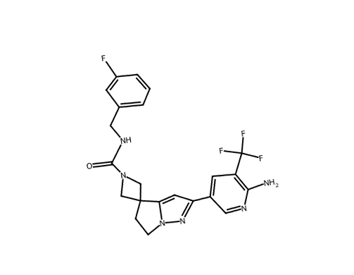 Nc1ncc(-c2cc3n(n2)CCC32CN(C(=O)NCc3cccc(F)c3)C2)cc1C(F)(F)F